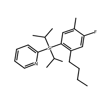 CCCCc1cc(F)c(C)cc1[Si](c1ccccn1)(C(C)C)C(C)C